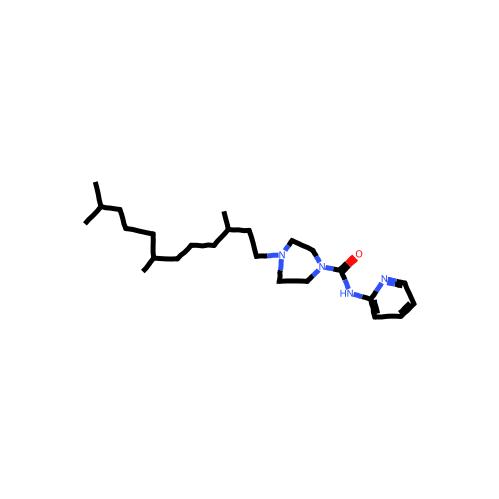 CC(C)CCCC(C)CCCC(C)CCN1CCN(C(=O)Nc2ccccn2)CC1